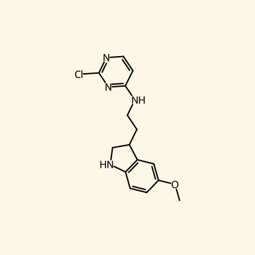 COc1ccc2c(c1)C(CCNc1ccnc(Cl)n1)CN2